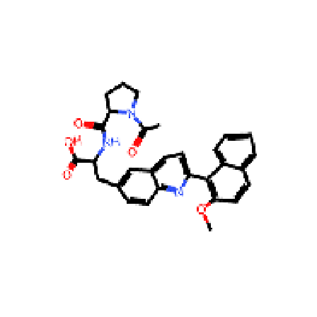 COc1ccc2ccccc2c1-c1ccc2cc(CC(NC(=O)C3CCCN3C(C)=O)C(=O)O)ccc2n1